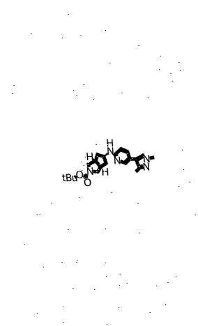 Cc1nn(C)cc1-c1ccc(N[C@H]2C[C@@H]3CN(C(=O)OC(C)(C)C)C[C@@H]3C2)nc1